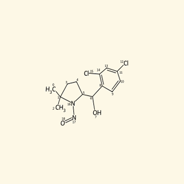 CC1(C)CCC(C(O)c2ccc(Cl)cc2Cl)N1N=O